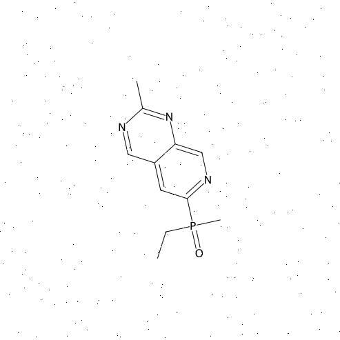 CCP(C)(=O)c1cc2cnc(C)nc2cn1